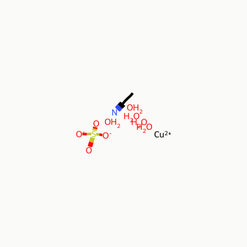 CC#N.O.O.O.O.O.O=S(=O)([O-])[O-].[Cu+2]